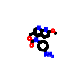 COc1ccc2c3c(cnc2n1)COC(=O)N3C1CCCC(N)CC1